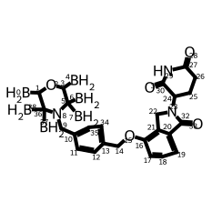 BC1OC(B)C(B)(B)N(Cc2ccc(COc3cccc4c3CN(C3CCC(=O)NC3=O)C4=O)cc2)C1(B)B